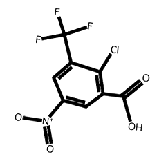 O=C(O)c1cc([N+](=O)[O-])cc(C(F)(F)F)c1Cl